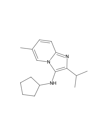 Cc1ccc2nc(C(C)C)c(NC3CCCC3)n2c1